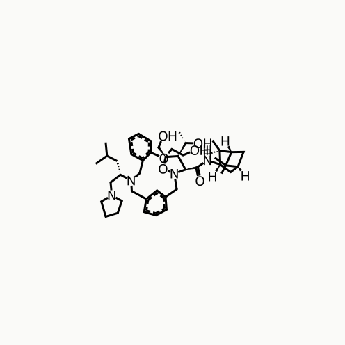 CC(C)C[C@@H](CN1CCCC1)N(Cc1cccc(CN2O[C@@H](CO)[C@@H]([C@H](C)O)[C@H]2C(=O)N[C@H]2C[C@H]3C[C@@H]([C@@H]2C)C3(C)C)c1)Cc1ccccc1OCCO